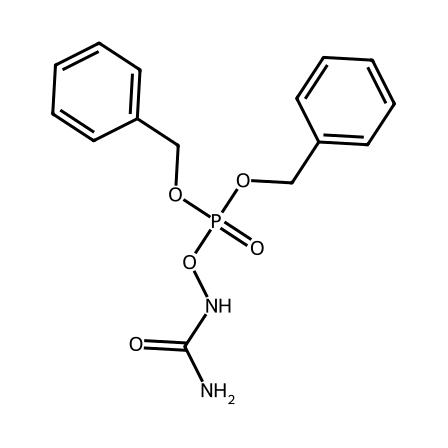 NC(=O)NOP(=O)(OCc1ccccc1)OCc1ccccc1